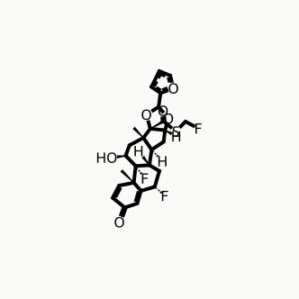 C[C@]12C=CC(=O)C=C1[C@@H](F)C[C@H]1[C@@H]3C[C@H]4OC(c5ccco5)O[C@@]4(C(=O)SCF)[C@@]3(C)C[C@H](O)[C@@]12F